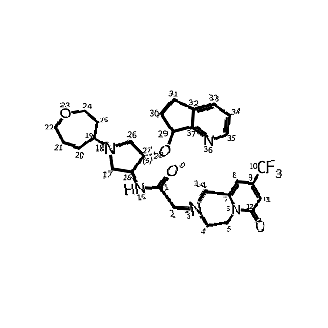 O=C(CN1CCn2c(cc(C(F)(F)F)cc2=O)C1)NC1CN(C2CCCOCC2)C[C@@H]1OC1CCc2cccnc21